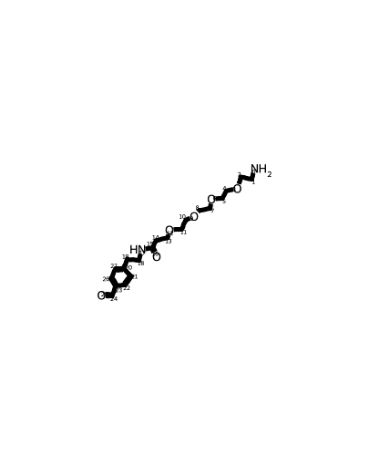 NCCOCCOCCOCCOCCC(=O)NCCc1ccc(C=O)cc1